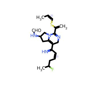 C=C(S/C=C\C)C1=NCC(C(=N)/C=C\CC(C)F)=C2CC(NC=O)CN12